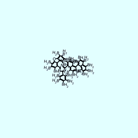 Bc1c(B)c(B)c(-c2nc(-c3c(B)c(B)c(B)c4c(-c5c(B)c(B)c(B)c6c(B)c(B)c(B)c(B)c56)c(B)c(B)c(B)c34)nc(-c3c(B)c(B)c(B)c4oc5c(B)c(B)c(B)c(B)c5c34)n2)c(B)c1B